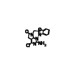 Nc1nc(Cl)c2c(n1)N(Cc1nc3ccccc3o1)C(=O)C2